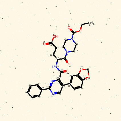 CCOC(=O)N1CCN(C(=O)[C@H](CCC(=O)O)NC(=O)c2nc(-c3ccccc3)ncc2-c2ccc3c(c2)OCO3)CC1